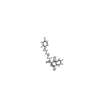 Cc1ccc(OCCOCCNc2n[n+]([O-])c3ccccc3[n+]2[O-])cc1